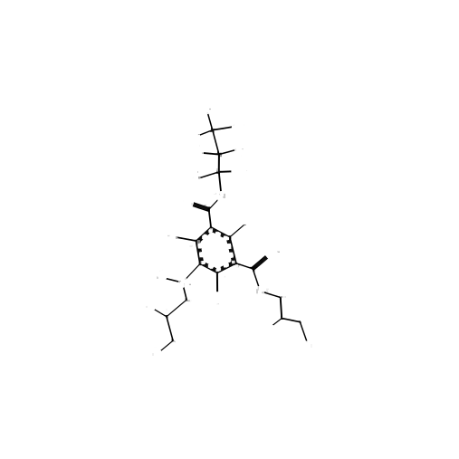 [2H]C([2H])(O)C([2H])(O)C([2H])([2H])NC(=O)c1c(I)c(C(=O)NCC(O)CO)c(I)c(N(CC(O)CO)C(C)=O)c1I